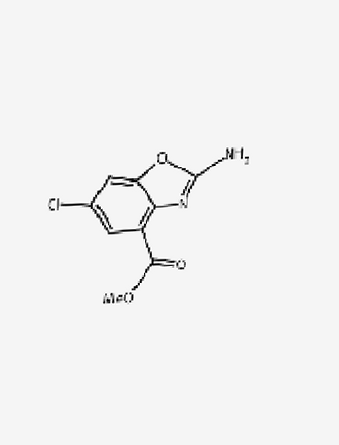 COC(=O)c1cc(Cl)cc2oc(N)nc12